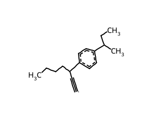 [C]#CC(CCCC)c1ccc(C(C)CC)cc1